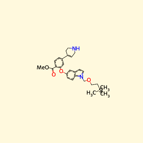 COC(=O)c1ccc(C2=CCNCC2)cc1Oc1ccc2c(ccn2COCC[Si](C)(C)C)c1